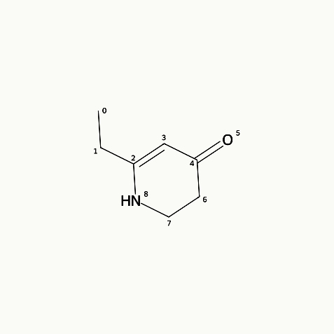 CCC1=CC(=O)CCN1